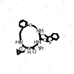 CC(C)[C@H]1NC(=O)[C@@H](Cc2csc3ccccc23)NCCOc2ccccc2CCCNC(=O)[C@H](CC2CC2)NC1=O